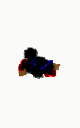 O=[N+]([O-])c1c(Br)nn(Cc2cccc(Cn3nc(Br)c([N+](=O)[O-])c3NCc3ccccc3)c2)c1NCc1ccccc1